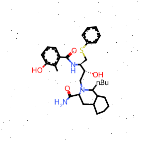 CCCCC1C2CCCCC2CC(C(N)=O)N1C[C@@H](O)[C@H](CSc1ccccc1)NC(=O)c1cccc(O)c1C